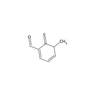 CC1C=CC=C(C=O)C1=S